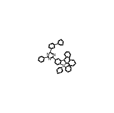 c1ccc(-c2cccc(-c3nc(-c4ccccc4)nc(-c4ccc5c(c4)-c4c(c6ccccc6c6ccccc46)[Si]5(c4ccccc4)c4ccccc4)n3)c2)cc1